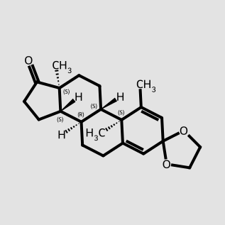 CC1=CC2(C=C3CC[C@@H]4[C@H](CC[C@]5(C)C(=O)CC[C@@H]45)[C@@]13C)OCCO2